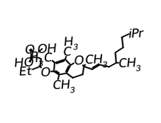 CCC(CP(=O)(O)O)Oc1c(C)c(C)c2c(c1C)CCC(C)(/C=C/CC(C)CCCC(C)C)O2